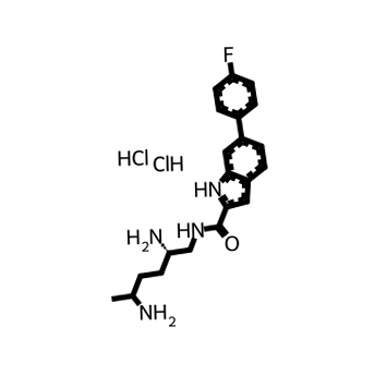 CC(N)CC[C@H](N)CNC(=O)c1cc2ccc(-c3ccc(F)cc3)cc2[nH]1.Cl.Cl